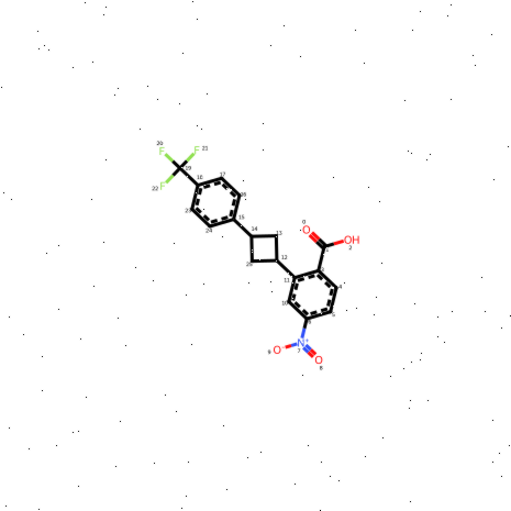 O=C(O)c1ccc([N+](=O)[O-])cc1C1CC(c2ccc(C(F)(F)F)cc2)C1